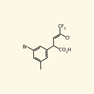 Cc1cc(Br)cc(C(C=C(Cl)C(F)(F)F)C(=O)O)c1